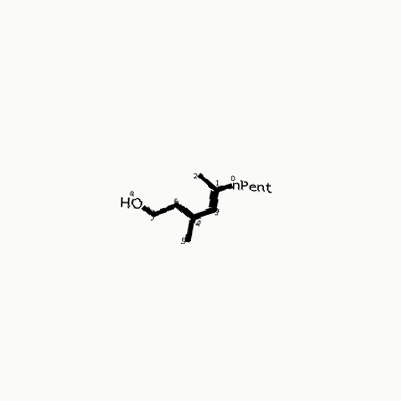 CCCCCC(C)=CC(C)CCO